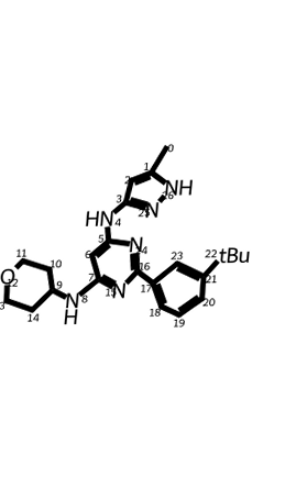 Cc1cc(Nc2cc(NC3CCOCC3)nc(-c3cccc(C(C)(C)C)c3)n2)n[nH]1